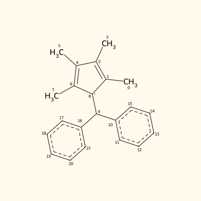 CC1=C(C)C(C)=C(C)[C]1C(c1ccccc1)c1ccccc1